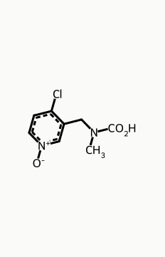 CN(Cc1c[n+]([O-])ccc1Cl)C(=O)O